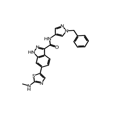 CNc1ncc(-c2ccc3c(C(=O)Nc4cnn(Cc5ccccc5)c4)n[nH]c3c2)s1